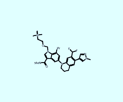 CNC(=O)c1cn(COCCS(C)(C)C)c2c(C(C)C)cc(N3CCCc4cc(-c5cnn(C)c5)c(C(F)F)cc43)cc12